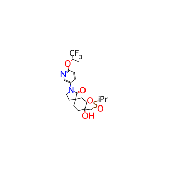 CC(C)S(=O)(=O)CC1(O)CCC2(CCN(c3ccc(O[C@@H](C)C(F)(F)F)nc3)C2=O)CC1